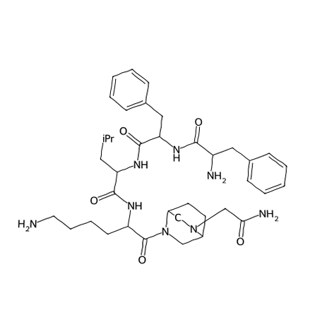 CC(C)CC(NC(=O)C(Cc1ccccc1)NC(=O)C(N)Cc1ccccc1)C(=O)NC(CCCCN)C(=O)N1CC2CCC1CN2CC(N)=O